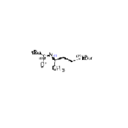 CC[C@@H](C)CC/C(C)=N/[S@@+]([O-])C(C)(C)C